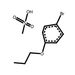 CCCOc1ccc(Br)cc1.CS(=O)(=O)O